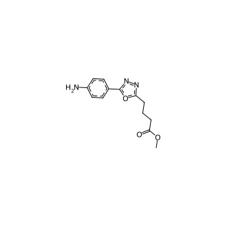 COC(=O)CCCc1nnc(-c2ccc(N)cc2)o1